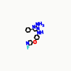 Nc1nc(Nc2ccc(Oc3ccnc(F)c3)cc2)cc(-c2ccccc2)n1